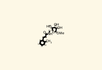 CO[C@H]1O[C@H](CNC(=O)C=Cc2ccccc2C)[C@@H](O)[C@H](O)[C@@H]1O